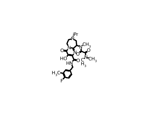 Cc1cc(CNC(=O)c2nc3n(c(=O)c2O)CCN(C(C)C)CC3N(C)C(=O)C(=O)N(C)C)ccc1F